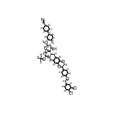 COC(=O)[C@H](Cc1ccc(-c2ccc(C#N)cc2)cc1)NC(=O)[C@@H]1Cc2cc3c(cc2CN1C(=O)OC(C)(C)C)OC(c1ccc(OCc2ccc(Cl)c(Cl)c2)cc1)CO3